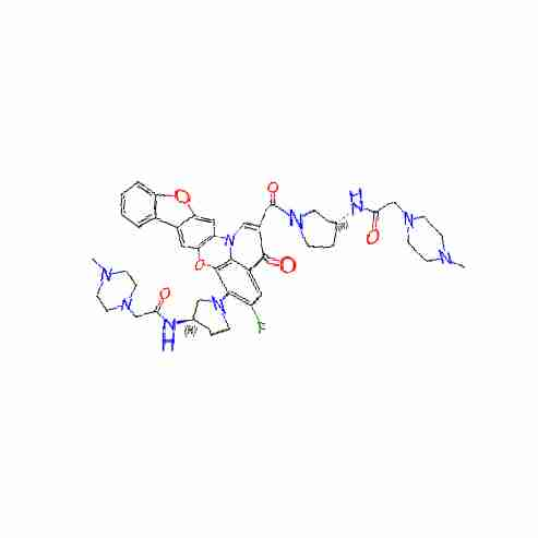 CN1CCN(CC(=O)N[C@@H]2CCN(C(=O)c3cn4c5c(c(N6CC[C@@H](NC(=O)CN7CCN(C)CC7)C6)c(F)cc5c3=O)Oc3cc5c(cc3-4)oc3ccccc35)C2)CC1